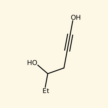 CCC(O)CC#CO